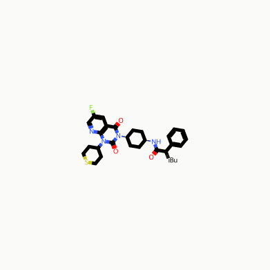 CCC(C)C(C(=O)N[C@H]1CC[C@@H](n2c(=O)c3cc(F)cnc3n(C3CCSCC3)c2=O)CC1)c1ccccc1